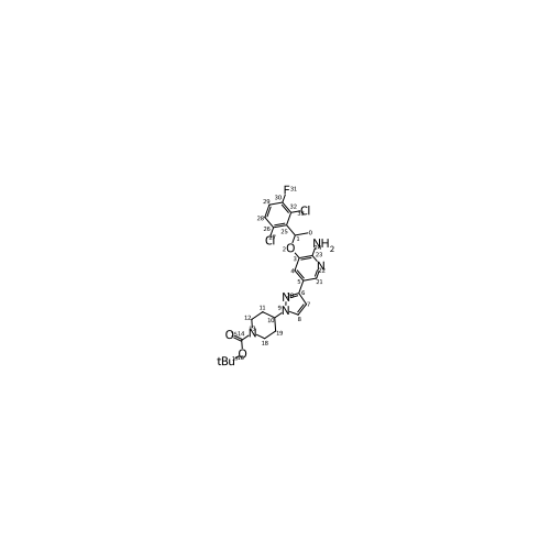 CC(Oc1cc(-c2ccn(C3CCN(C(=O)OC(C)(C)C)CC3)n2)cnc1N)c1c(Cl)ccc(F)c1Cl